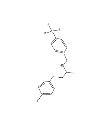 CC(CCc1ccc(F)cc1)NCc1ccc(C(F)(F)F)cc1